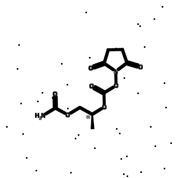 C[C@@H](COC(N)=O)OC(=O)ON1C(=O)CCC1=O